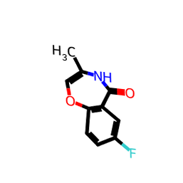 CC1=COc2ccc(F)cc2C(=O)N1